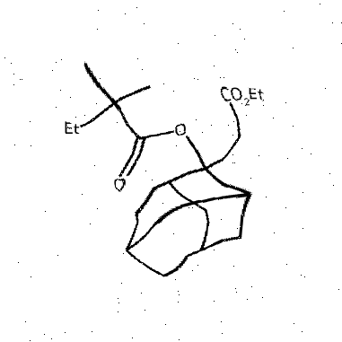 CCOC(=O)CC1(OC(=O)C(C)(C)CC)C2CC3CC(C2)CC1C3